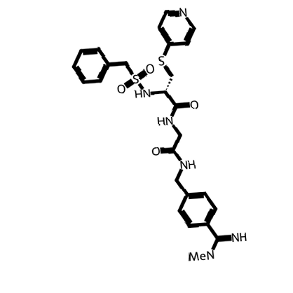 CNC(=N)c1ccc(CNC(=O)CNC(=O)[C@@H](CSc2ccncc2)NS(=O)(=O)Cc2ccccc2)cc1